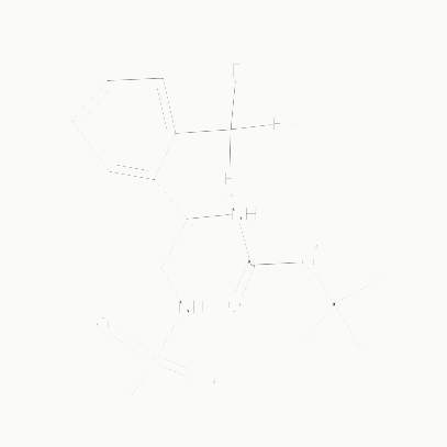 CC(C)(C)OC(=O)NC(CNS(C)(=O)=O)c1ccccc1C(F)(F)F